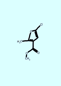 COC(=O)c1cc(Cl)oc1C